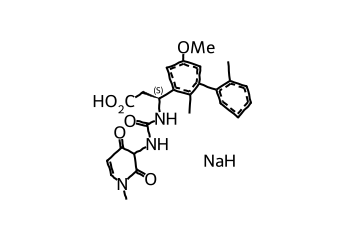 COc1cc(-c2ccccc2C)c(C)c([C@H](CC(=O)O)NC(=O)NC2C(=O)C=CN(C)C2=O)c1.[NaH]